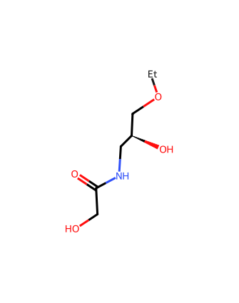 CCOC[C@@H](O)CNC(=O)CO